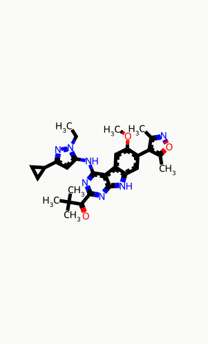 CCn1nc(C2CC2)cc1Nc1nc(C(=O)C(C)(C)C)nc2[nH]c3cc(-c4c(C)noc4C)c(OC)cc3c12